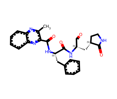 Cc1nc2ccccc2nc1C(=O)N[C@@H](Cc1ccccc1)C(=O)N[C@H](C=O)C[C@@H]1CCNC1=O